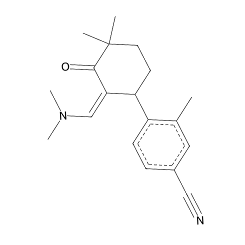 Cc1cc(C#N)ccc1C1CCC(C)(C)C(=O)/C1=C\N(C)C